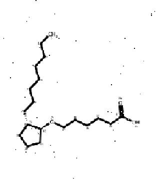 CCCCCCCC[C@H]1CCC[C@@H]1OCCCCCC(=O)O